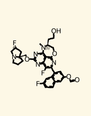 CN1c2nc(OC[C@@]34CCCN3C[C@H](F)C4)nc3c(F)c(-c4cc(OC=O)cc5ccc(F)cc45)nc(c23)OC[C@@H]1CCO